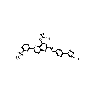 Cn1cnc(-c2ccc(CNc3nc(OC4(C)CC4)c4nc(-c5cccc(S(C)(=O)=O)c5)ccc4n3)cc2)c1